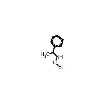 CCONC(C)c1ccccc1